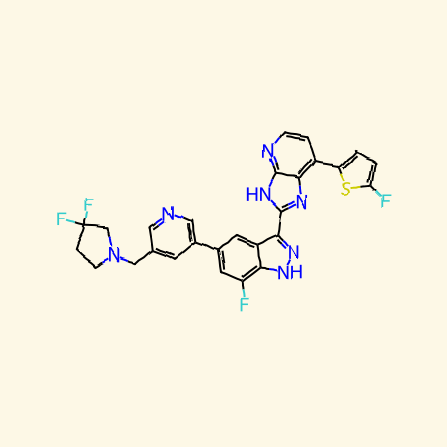 Fc1ccc(-c2ccnc3[nH]c(-c4n[nH]c5c(F)cc(-c6cncc(CN7CCC(F)(F)C7)c6)cc45)nc23)s1